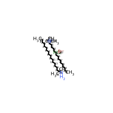 CCCCCCCCCCCCCCCCCC(C)(C)N.CCCCCCCCCCCCCCCC[N+](C)(C)C.Cl.[Br-]